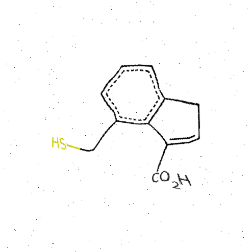 O=C(O)C1=CCc2cccc(CS)c21